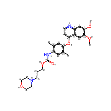 COc1cc2nccc(Oc3cc(C)c(NC(=O)OCCCN4CCOCC4)cc3C)c2cc1OC